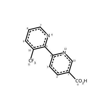 O=C(O)c1ccc(-c2ncccc2C(F)(F)F)nc1